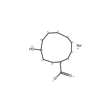 O=C([O-])C1CCCCCCCC(O)CC1.[Na+]